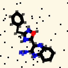 Nc1nc2ccccc2nc1-c1nc(Cc2ccccc2)no1